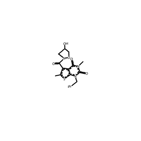 Cc1sc2c(c1C(=O)N1CC(O)CO1)c(=O)n(C)c(=O)n2CC(C)C